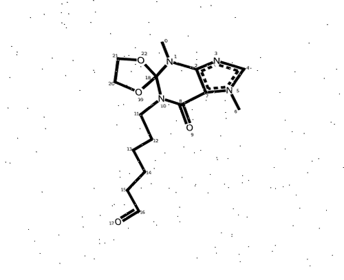 CN1c2ncn(C)c2C(=O)N(CCCCCC=O)C12OCCO2